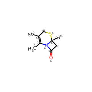 CCC1=C(C)N2C(=O)C[C@H]2SC1